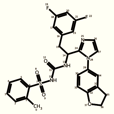 Cc1ccccc1S(=O)(=O)NC(=O)NC(Cc1cc(F)cc(F)c1)c1nccn1-c1ccc2c(c1)CCO2